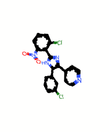 O=[N+]([O-])c1cccc(Cl)c1-c1nc(-c2ccncc2)c(-c2cccc(Cl)c2)[nH]1